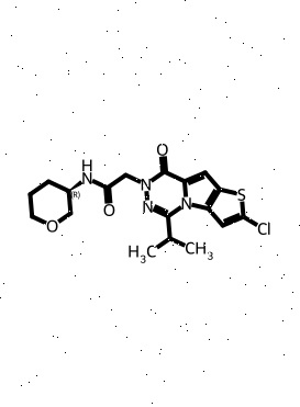 CC(C)c1nn(CC(=O)N[C@@H]2CCCOC2)c(=O)c2cc3sc(Cl)cc3n12